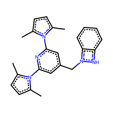 Cc1ccc(C)n1-c1cc(Cn2[nH]c3ccccc32)cc(-n2c(C)ccc2C)n1